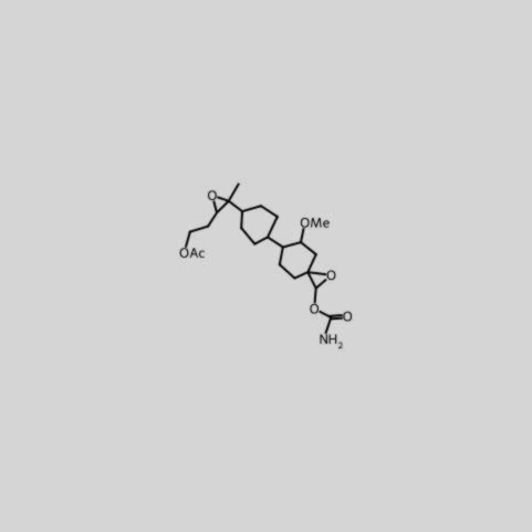 COC1CC2(CCC1C1CCC(C3(C)OC3CCOC(C)=O)CC1)OC2OC(N)=O